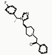 C[C@H](c1ccc(F)cc1)n1cncc1C=C1CCN(CC(=O)c2ccccc2)CC1